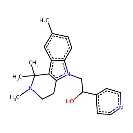 Cc1ccc2c(c1)c1c(n2CC(O)c2ccncc2)CCN(C)C1(C)C